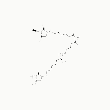 C#CN1C(=O)CC(SCCCCCC(=O)N(C)C(C)CCCCNC(=O)CCCCCSC2CC(=O)NC2=O)C1=O